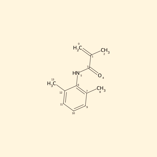 C=C(C)C(=O)Nc1c(C)cccc1C